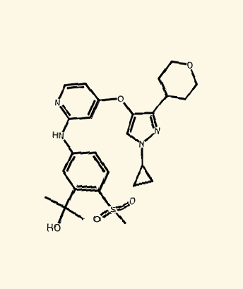 CC(C)(O)c1cc(Nc2cc(Oc3cn(C4CC4)nc3C3CCOCC3)ccn2)ccc1S(C)(=O)=O